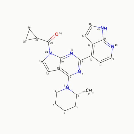 C[C@@H]1CCCCN1c1nc(-c2ccnc3[nH]ccc23)nc2c1ccn2C(=O)C1CC1